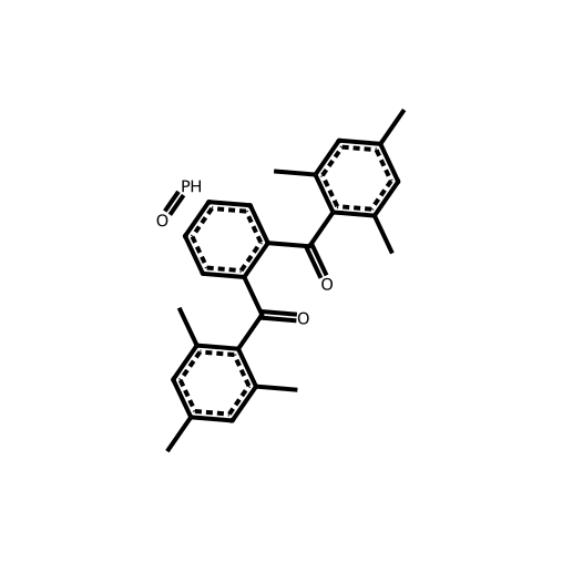 Cc1cc(C)c(C(=O)c2ccccc2C(=O)c2c(C)cc(C)cc2C)c(C)c1.O=P